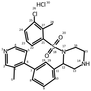 Cc1cnccc1-c1cccc(C2CNCCN2S(=O)(=O)c2cccc(Cl)c2C)c1.Cl